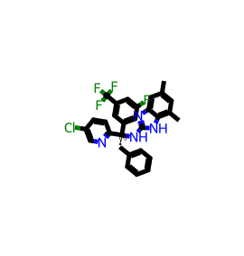 Cc1cc(C)c2[nH]c(N[C@](Cc3ccccc3)(c3cc(F)cc(C(F)(F)F)c3)c3ccc(Cl)cn3)nc2c1